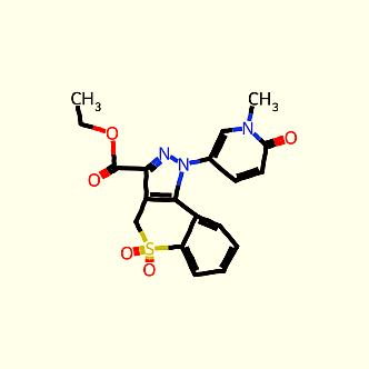 CCOC(=O)c1nn(-c2ccc(=O)n(C)c2)c2c1CS(=O)(=O)c1ccccc1-2